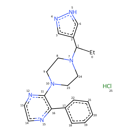 CCC(c1cn[nH]c1)N1CCN(c2nccnc2-c2ccccc2)CC1.Cl